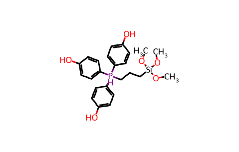 CO[Si](CCC[PH](c1ccc(O)cc1)(c1ccc(O)cc1)c1ccc(O)cc1)(OC)OC